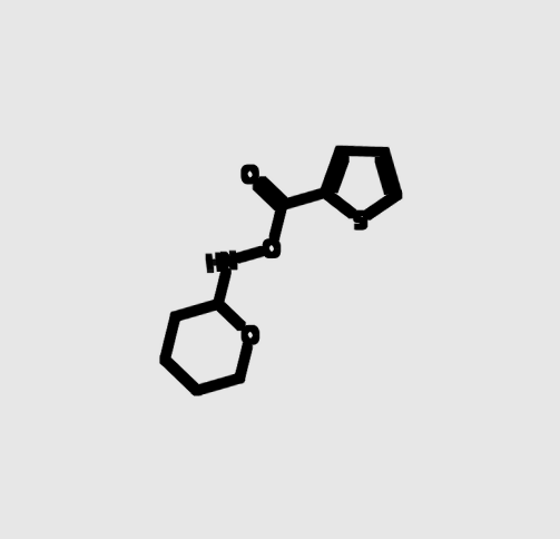 O=C(ONC1CCCCO1)c1cccs1